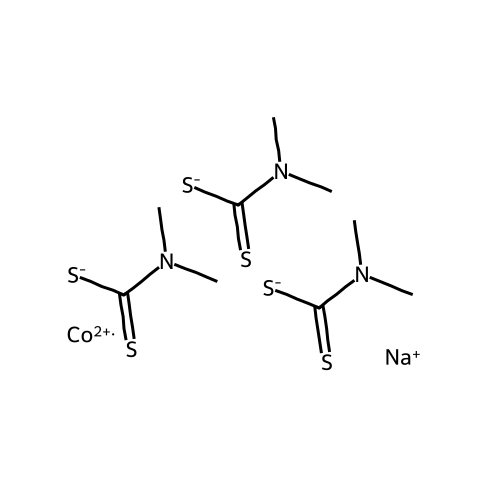 CN(C)C(=S)[S-].CN(C)C(=S)[S-].CN(C)C(=S)[S-].[Co+2].[Na+]